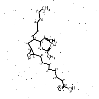 C=CC(OC(C)=O)C(CCCCCC)CC1OC1CCCCCCCC(=O)O